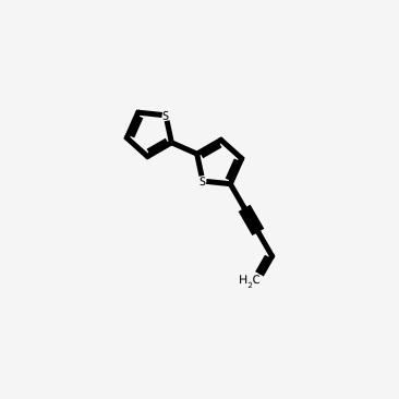 C=CC#Cc1ccc(-c2cccs2)s1